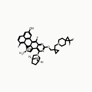 C#Cc1c(F)ccc2cc(O)cc(-c3c(F)c4nc(OCC5(CN6CCC7(CC6)CC7(F)F)CC5)nc(N5C[C@H]6CC[C@@H](C5)N6)c4c4cn(C)nc34)c12